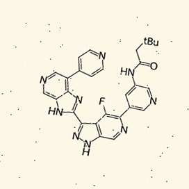 CC(C)(C)CC(=O)Nc1cncc(-c2ncc3[nH]nc(-c4nc5c(-c6ccncc6)cncc5[nH]4)c3c2F)c1